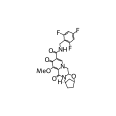 COc1c2n(cc(C(=O)NCc3c(F)cc(F)cc3F)c1=O)CC1OC3CC[C@H](C3)N1C2=O